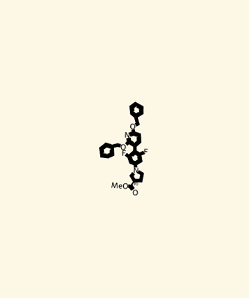 COC(=O)[C@@H]1CCN(c2cc(F)c(-c3ccc(OCc4ccccc4)nc3OCc3ccccc3)c(F)c2)C1